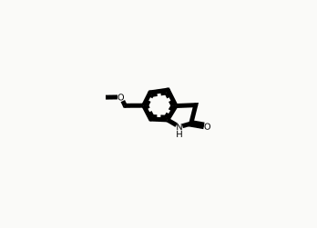 COCc1ccc2c(c1)NC(=O)C2